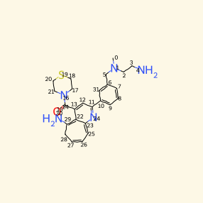 CN(CCN)Cc1cccc(-c2cc(C(=O)N3CCSCC3)c3c(n2)=CC=CCC=3N)c1